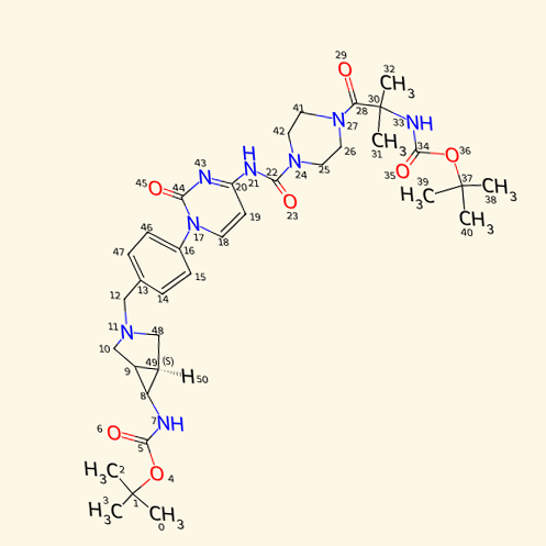 CC(C)(C)OC(=O)NC1C2CN(Cc3ccc(-n4ccc(NC(=O)N5CCN(C(=O)C(C)(C)NC(=O)OC(C)(C)C)CC5)nc4=O)cc3)C[C@H]21